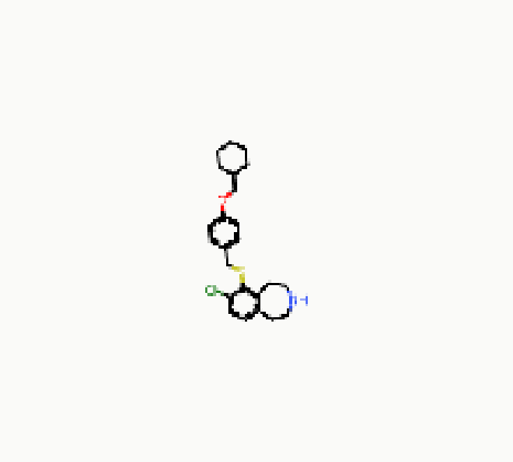 Clc1ccc2c(c1SCc1ccc(OCC3CCCCC3)cc1)CCNCC2